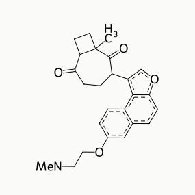 CNCCOc1ccc2c(ccc3occ(C4CCC(=O)C5CCC5(C)C4=O)c32)c1